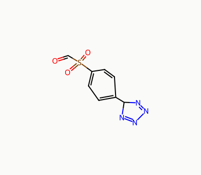 O=CS(=O)(=O)c1ccc(C2N=NN=N2)cc1